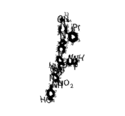 CC(C)c1ccccc1[C@@H]1CN(C(=O)N(C)C)CCN1C1CC2(CCN(c3ccc(C(=O)NS(=O)(=O)c4cnc(NCC5CCC(C)(O)CC5)c([N+](=O)[O-])c4)c(Oc4cnc5[nH]cc(F)c5c4)c3)CC2)C1